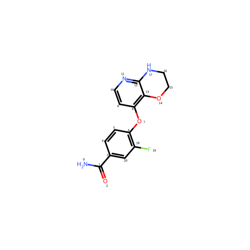 NC(=O)c1ccc(Oc2ccnc3c2OCCN3)c(F)c1